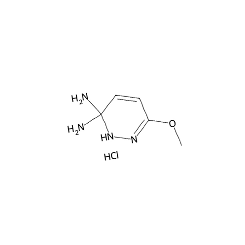 COC1=NNC(N)(N)C=C1.Cl